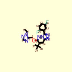 CCn1ncnc1COc1nn2c(-c3cc(F)ccc3F)nnc2cc1C(C)(C)C